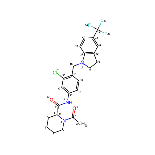 CC(=O)N1CCCC[C@@H]1C(=O)Nc1ccc(CN2CCc3cc(C(F)(F)F)ccc32)c(Cl)c1